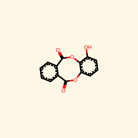 O=C1Oc2cccc(O)c2OC(=O)c2ccccc21